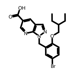 CCC(CC)COc1ccc(Br)cc1Cn1ncc2cc(C(=O)O)cnc21